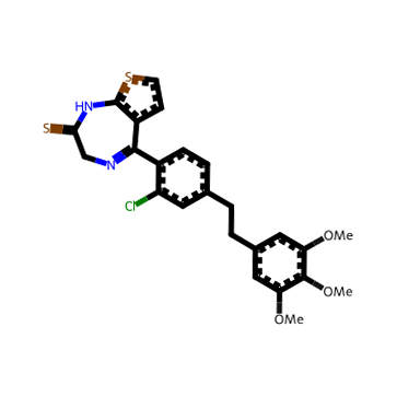 COc1cc(CCc2ccc(C3=NCC(=S)Nc4sccc43)c(Cl)c2)cc(OC)c1OC